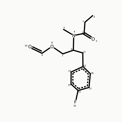 CCC(=O)N(C)C(COC=O)Cc1ccc(F)cc1